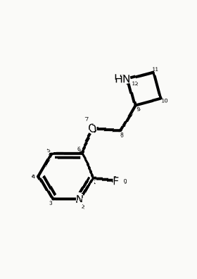 Fc1ncccc1OCC1CCN1